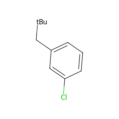 CC(C)(C)Cc1cccc(Cl)c1